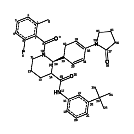 Cc1cccc(F)c1C(=O)N1CCCC(C(=O)Nc2cccc(C(C)(C)C)c2)[C@@H]1C1C=CC(N2CCCC2=O)=CC1